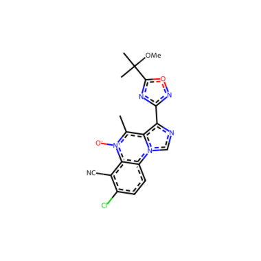 COC(C)(C)c1nc(-c2ncn3c2c(C)[n+]([O-])c2c(C#N)c(Cl)ccc23)no1